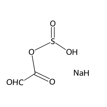 O=CC(=O)OS(=O)O.[NaH]